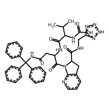 CC(C)C(NC(=O)O)C(=O)NC(CC(=O)NC(c1ccccc1)(c1ccccc1)c1ccccc1)C(=O)N1c2ncccc2CC1C(=O)NCc1nn[nH]n1